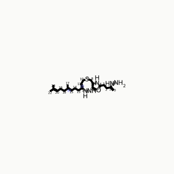 C=C(CCC(=O)N[C@H]1CSC/C=C(/CC/C=C(\C)CCC=C(C)C)NNC1=C)NN